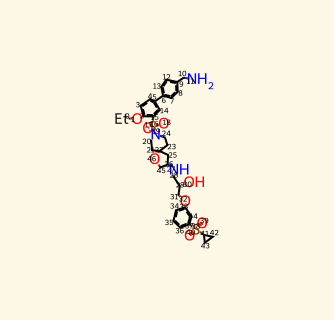 CCOc1ccc(-c2ccc(CN)cc2)cc1S(=O)(=O)N1CCC2(CC1)C[C@@H](NC[C@H](O)COc1cccc(S(=O)(=O)C3CC3)c1)CO2